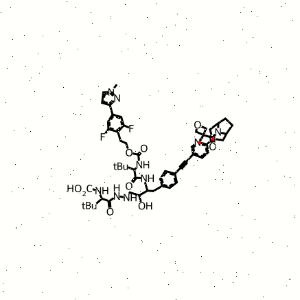 Cn1ccc(-c2cc(F)c(CCOC(=O)NC(C(=O)NC(Cc3ccc(C#Cc4ccc(N5CC6CCC(C5)N6C(=O)C5(C)COC5)nc4)cc3)C(O)CNNC(=O)C(NC(=O)O)C(C)(C)C)C(C)(C)C)c(F)c2)n1